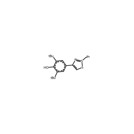 CC(C)S1=NC(c2cc(C(C)(C)C)c(O)c(C(C)(C)C)c2)=CS1